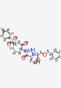 CC(C)C[C@H](NC(=O)COCc1ccccc1)C(=O)NC1CCCN(S(=O)(=O)c2ccc(F)cc2)CC1=O